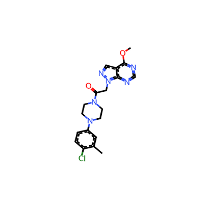 COc1ncnc2c1cnn2CC(=O)N1CCN(c2ccc(Cl)c(C)c2)CC1